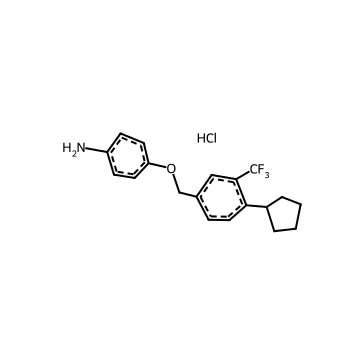 Cl.Nc1ccc(OCc2ccc(C3CCCC3)c(C(F)(F)F)c2)cc1